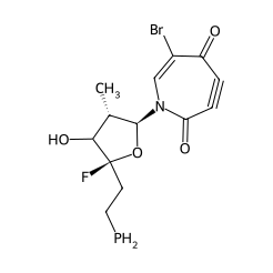 C[C@H]1C(O)[C@@](F)(CCP)O[C@@H]1n1cc(Br)c(=O)c#cc1=O